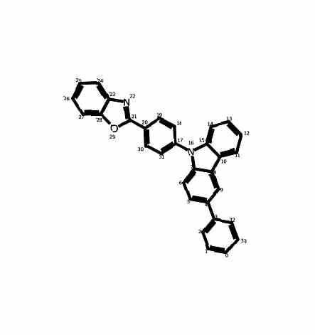 c1ccc(-c2ccc3c(c2)c2ccccc2n3-c2ccc(-c3nc4ccccc4o3)cc2)cc1